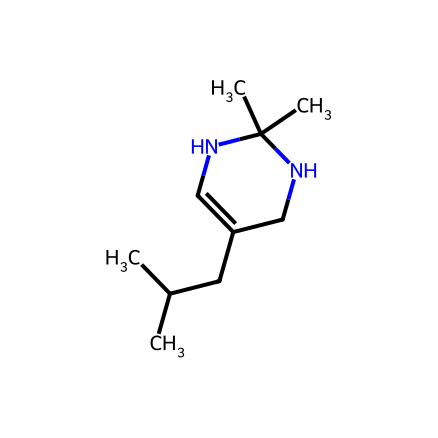 CC(C)CC1=CNC(C)(C)NC1